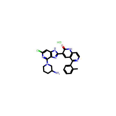 Cc1ccccc1-c1nccc2[nH]c(=O)c(-c3nc4c(N5CCCC(N)C5)nc(Cl)cc4[nH]3)cc12.Cl